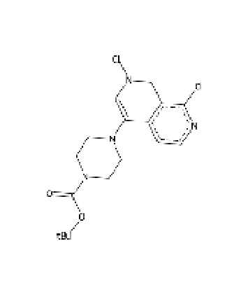 CC(C)(C)OC(=O)N1CCN(C2=CN(Cl)Cc3c2ccnc3Cl)CC1